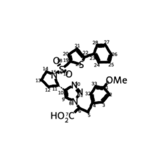 COc1ccc(CC(C(=O)O)n2cc([C@@H]3CCCN3S(=O)(=O)c3ccc(-c4ccccc4)s3)nn2)cc1